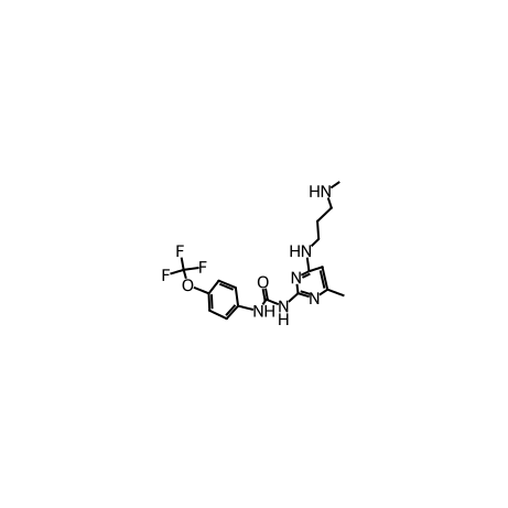 CNCCCNc1cc(C)nc(NC(=O)Nc2ccc(OC(F)(F)F)cc2)n1